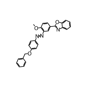 COc1ccc(-c2nc3ccccc3o2)cc1/N=N/c1ccc(OCc2ccccc2)cc1